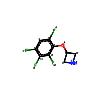 Fc1cc(F)c(OC2CNC2)c(F)c1F